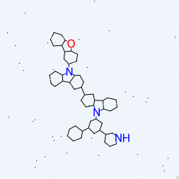 C1CCC(C2CC(C3CCCNC3)CC(N3C4CCCCC4C4CC(C5CCC6C(C5)C5CCCCC5N6C5CCC6OC7CCCCC7C6C5)CCC43)C2)CC1